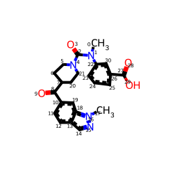 CN(C(=O)N1CCC(C(=O)c2ccc3cnn(C)c3c2)CC1)c1cccc(C(=O)O)c1